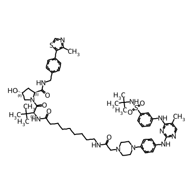 Cc1cnc(Nc2ccc(N3CCN(CC(=O)NCCCCCCCCC(=O)N[C@H](C(=O)N4C[C@H](O)C[C@H]4C(=O)NCc4ccc(-c5scnc5C)cc4)C(C)(C)C)CC3)cc2)nc1Nc1cccc(S(=O)(=O)NC(C)(C)C)c1